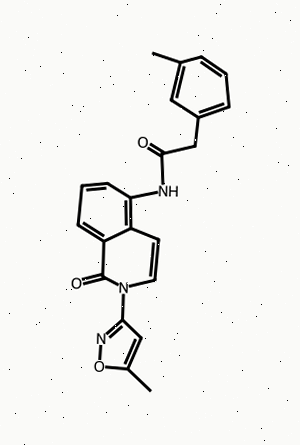 Cc1cccc(CC(=O)Nc2cccc3c(=O)n(-c4cc(C)on4)ccc23)c1